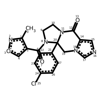 Cc1nocc1C(=O)N1CCN2C(=O)c3cncn3CC12c1ccc(Cl)cc1